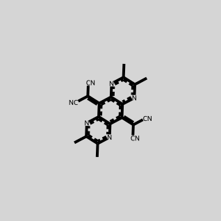 Cc1nc2c(=C(C#N)C#N)c3nc(C)c(C)nc3c(=C(C#N)C#N)c2nc1C